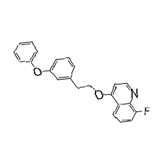 Fc1cccc2c(OCCc3cccc(Oc4ccccc4)c3)ccnc12